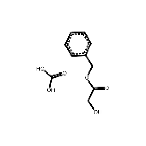 O=C(CO)OCc1ccccc1.O=C(O)O